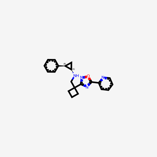 c1ccc([C@H]2C[C@@H]2NCC2(c3noc(-c4ccccn4)n3)CCC2)cc1